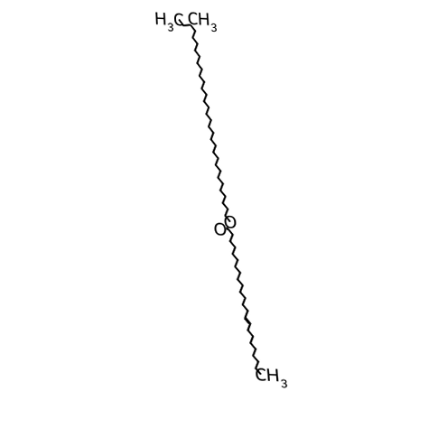 CCCCCCCCC=CCCCCCCCCCCCCCC(=O)OCCCCCCCCCCCCCCCCCCCCCCCCCCCCCCC(C)CC